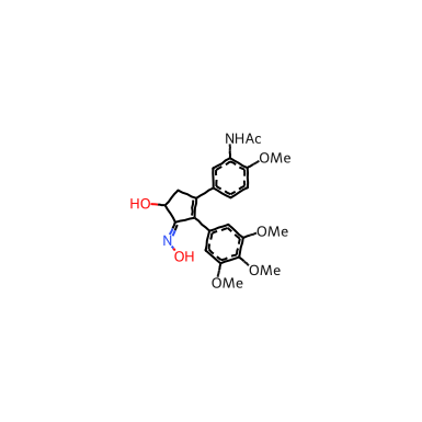 COc1ccc(C2=C(c3cc(OC)c(OC)c(OC)c3)/C(=N\O)C(O)C2)cc1NC(C)=O